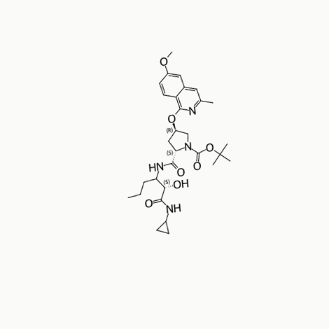 CCCC(NC(=O)[C@@H]1C[C@@H](Oc2nc(C)cc3cc(OC)ccc23)CN1C(=O)OC(C)(C)C)[C@H](O)C(=O)NC1CC1